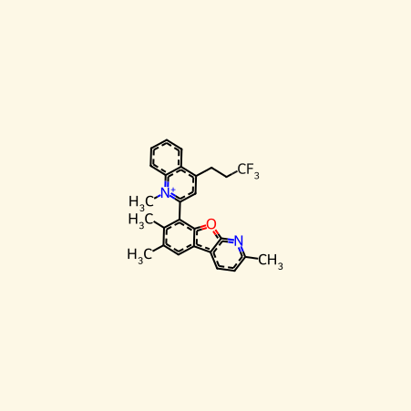 Cc1ccc2c(n1)oc1c(-c3cc(CCC(F)(F)F)c4ccccc4[n+]3C)c(C)c(C)cc12